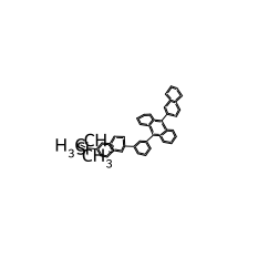 C[Si](C)(C)c1ccc2cc(-c3cccc(-c4c5ccccc5c(-c5ccc6ccccc6c5)c5ccccc45)c3)ccc2c1